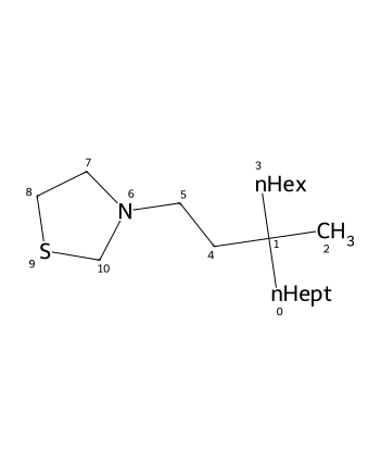 CCCCCCCC(C)(CCCCCC)CCN1CCSC1